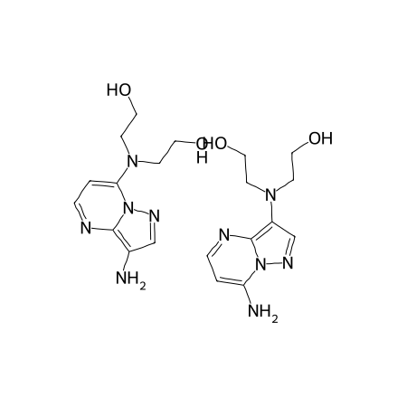 Nc1ccnc2c(N(CCO)CCO)cnn12.Nc1cnn2c(N(CCO)CCO)ccnc12